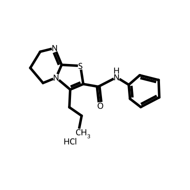 CCCC1=C(C(=O)Nc2ccccc2)SC2=NCCCN21.Cl